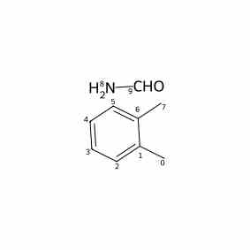 Cc1ccccc1C.NC=O